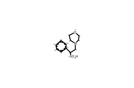 O=S(=O)(O)C(CN1CCOCC1)c1ccccc1